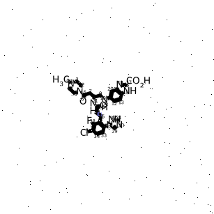 CN1CCN(C(=O)CC(CNc2ccc3[nH]c(C(=O)O)nc3c2)NC(=O)/C=C/c2c(-n3cnnn3)ccc(Cl)c2F)CC1